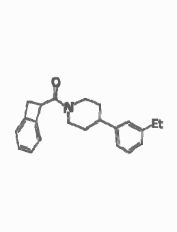 CCc1cccc(C2CCN(C(=O)C3Cc4ccccc43)CC2)c1